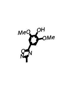 COc1cc(-c2nc(C)no2)cc(OC)c1O